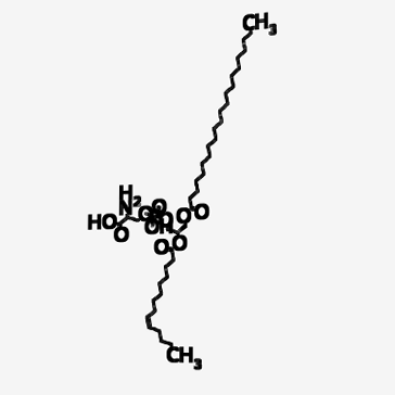 CCCC/C=C\CCCCCCCC(=O)O[C@H](COC(=O)CCCCCCCCCCCCCCCCCCCCC)COP(=O)(O)OC[C@H](N)C(=O)O